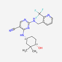 CC1(C)C[C@H](Nc2nc(NCc3cccnc3C(F)(F)F)ncc2C#N)CC[C@@H]1O